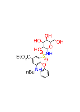 CCCCNc1cc(C(=O)OCC)cc(S(=O)(=O)NC2O[C@H](CO)[C@H](O)[C@H](O)C2O)c1Oc1ccccc1